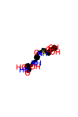 O=C(NCc1ccc(-c2cccc(C(O)(C(=O)O)c3ccccc3)c2)s1)c1ccc(CCNCC(O)c2ccc(O)c3[nH]c(=O)ccc23)cc1